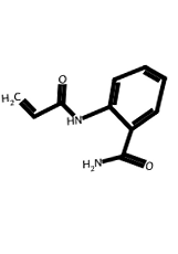 C=CC(=O)Nc1c[c]ccc1C(N)=O